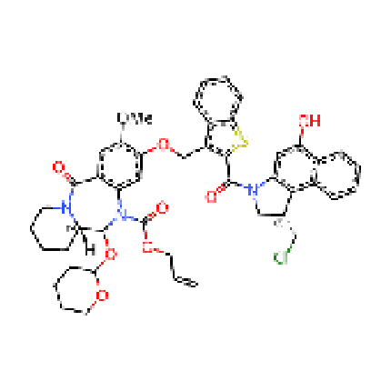 C=CCOC(=O)N1c2cc(OCc3c(C(=O)N4C[C@@H](CCl)c5c4cc(O)c4ccccc54)sc4ccccc34)c(OC)cc2C(=O)N2CCCC[C@H]2C1OC1CCCCO1